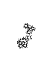 c1ccc(-c2nc(-c3cccc(-c4ccc5c(c4)c4ccccc4n5-c4ccccc4)c3)nc3ccc4oc5ccccc5c4c23)cc1